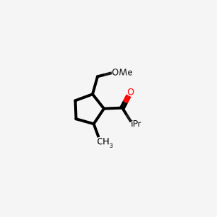 COCC1CCC(C)C1C(=O)C(C)C